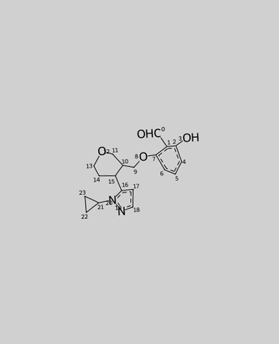 O=Cc1c(O)cccc1OCC1COCCC1c1ccnn1C1CC1